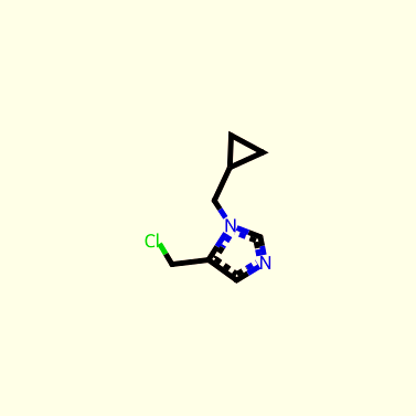 ClCc1cncn1CC1CC1